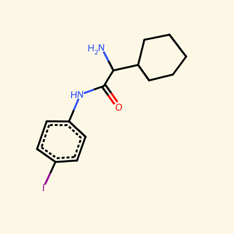 NC(C(=O)Nc1ccc(I)cc1)C1CCCCC1